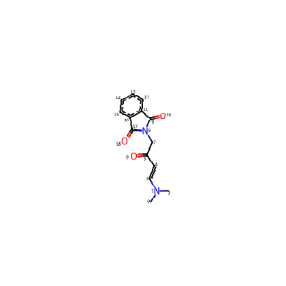 CN(C)/C=C/C(=O)CN1C(=O)c2ccccc2C1=O